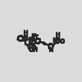 CC(C)Oc1ccc(C#Cc2cncc(C3=NNC(=O)C3)c2)cc1C(=O)N[C@@H](CO)Cc1c[nH]c2ccccc12